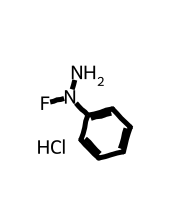 Cl.NN(F)c1ccccc1